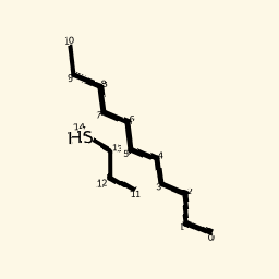 CCCCCCCCCCC.CCCS